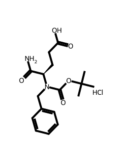 CC(C)(C)OC(=O)N(Cc1ccccc1)[C@H](CCC(=O)O)C(N)=O.Cl